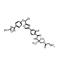 CCC(Oc1ccc(-c2noc(C(C)C)n2)cc1)c1nc(-c2ccc(C(=O)NC(C)(C)COC(=O)CN)c(F)c2)co1